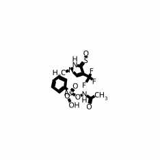 CC(=O)NO[As](=O)(OO)c1ccccc1.Cn1cc(C(F)(F)F)c(=S=O)[nH]1